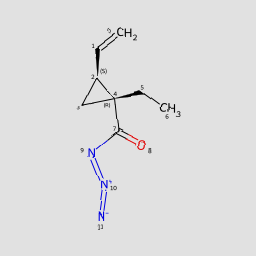 C=C[C@@H]1C[C@@]1(CC)C(=O)N=[N+]=[N-]